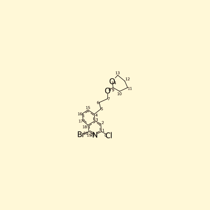 Clc1cc2c(CCCOC3CCCCO3)cccc2c(Br)n1